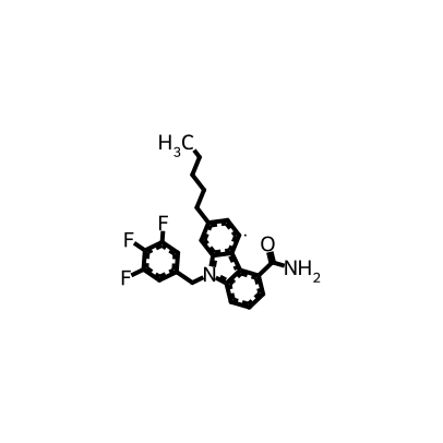 CCCCCc1c[c]c2c3c(C(N)=O)cccc3n(Cc3cc(F)c(F)c(F)c3)c2c1